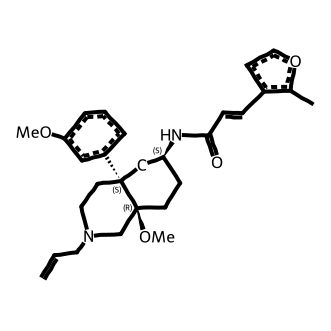 C=CCN1CC[C@@]2(c3cccc(OC)c3)C[C@@H](NC(=O)C=Cc3ccoc3C)CC[C@]2(OC)C1